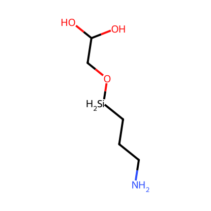 NCCC[SiH2]OCC(O)O